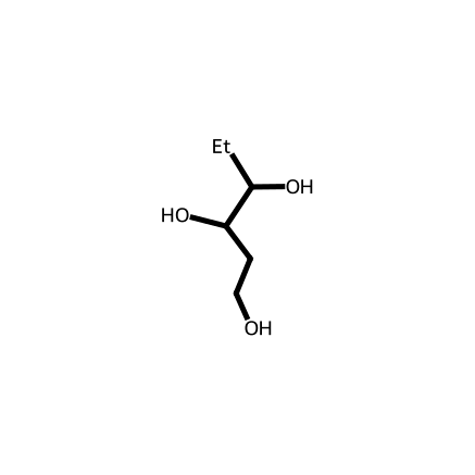 [CH2]CC(O)C(O)CCO